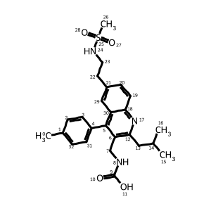 Cc1ccc(-c2c(CNC(=O)O)c(CC(C)C)nc3ccc(CCNS(C)(=O)=O)cc23)cc1